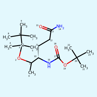 CC(O[Si](C)(C)C(C)(C)C)[C@H](CCC(N)=O)NC(=O)OC(C)(C)C